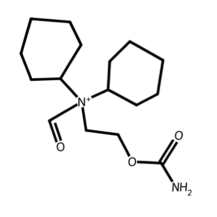 NC(=O)OCC[N+](C=O)(C1CCCCC1)C1CCCCC1